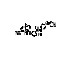 N#Cc1ccc2nccc(Nc3cccc(C(=O)Nc4ccc(Oc5ccncc5)cc4)c3)c2c1